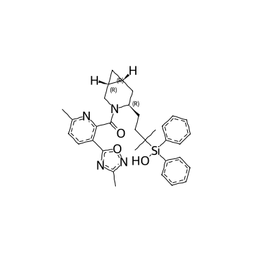 Cc1ccc(-c2nc(C)no2)c(C(=O)N2C[C@@H]3C[C@@H]3C[C@H]2CCC(C)(C)[Si](O)(c2ccccc2)c2ccccc2)n1